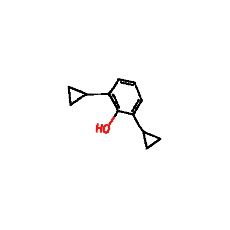 Oc1c(C2CC2)cccc1C1CC1